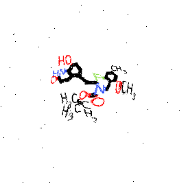 COc1cc(C)cc(F)c1CN(CCc1ccc(O)c2[nH]c(=O)ccc12)C(=O)OC(C)(C)C